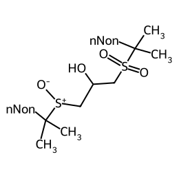 CCCCCCCCCC(C)(C)[S+]([O-])CC(O)CS(=O)(=O)C(C)(C)CCCCCCCCC